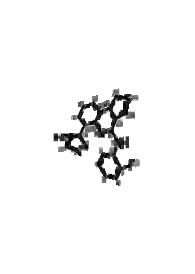 Fc1ccccc1Nc1nc2c(-c3nnc[nH]3)cccc2c2cscc12